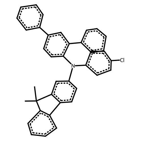 CC1(C)c2ccccc2-c2ccc(N(c3ccc(Cl)cc3)c3ccc(-c4ccccc4)cc3-c3ccccc3)cc21